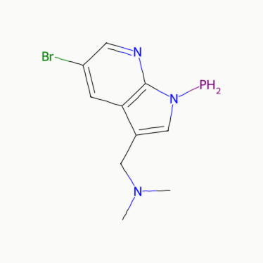 CN(C)Cc1cn(P)c2ncc(Br)cc12